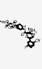 COP(=O)(CS(=O)(=O)c1ccc(NC(=O)c2nc(-c3cc(F)ccc3C#N)cnc2N)cc1)OC